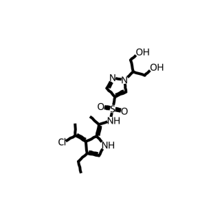 CCc1c[nH]c(=C(/C)NS(=O)(=O)c2cnn(C(CO)CO)c2)/c1=C(\C)Cl